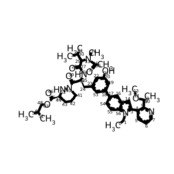 CCn1c(-c2cccnc2[C@H](C)OC)cc2cc(-c3cc(O)cc(C[C@H](NC(=O)C(C(C)C)N(C)C(C)=O)C(=O)N4CCC[C@@H](C(=O)OCC(C)C)N4)c3)ccc21